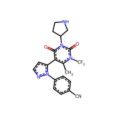 Cc1c(-c2ccnn2-c2ccc(C#N)cc2)c(=O)n(C2CCNC2)c(=O)n1C(F)(F)F